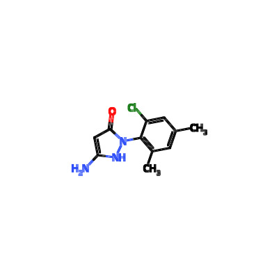 Cc1cc(C)c(-n2[nH]c(N)cc2=O)c(Cl)c1